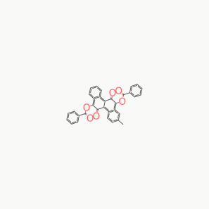 Cc1ccc2c(c1)=C(OC(=O)c1ccccc1)C(=O)C1=c3ccccc3=C(OC(=O)c3ccccc3)C(=O)C=21